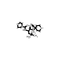 CC(C)(C)CC(NC(=O)N1CCOCC1)C(=O)NC1(C#N)CCSCC1